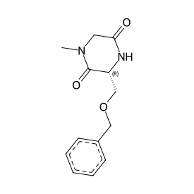 CN1CC(=O)N[C@H](COCc2ccccc2)C1=O